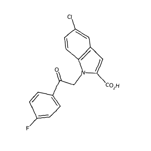 O=C(Cn1c(C(=O)O)cc2cc(Cl)ccc21)c1ccc(F)cc1